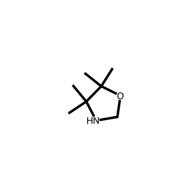 CC1(C)NCOC1(C)C